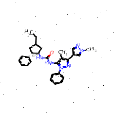 CCC1C[C@@H](NC(=O)Nc2c(C)c(-c3cnn(C)c3)nn2-c2ccccc2)[C@H](c2ccccc2)C1